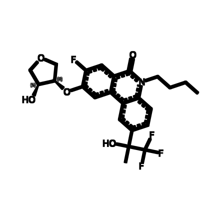 CCCCn1c(=O)c2cc(F)c(O[C@@H]3COC[C@@H]3O)cc2c2cc(C(C)(O)C(F)(F)F)ccc21